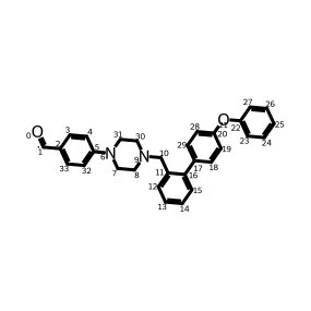 O=[C]c1ccc(N2CCN(Cc3ccccc3-c3ccc(Oc4ccccc4)cc3)CC2)cc1